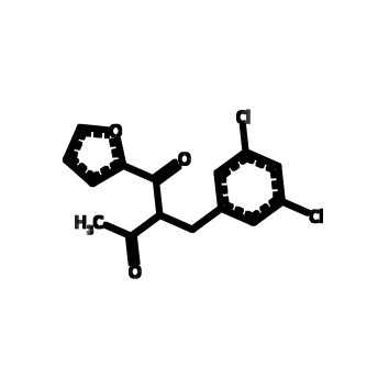 CC(=O)C(Cc1cc(Cl)cc(Cl)c1)C(=O)c1ccco1